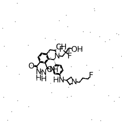 C[C@@H]1Cc2ccc3c(c2[C@@H](c2ccc(NC4CN(CCCF)C4)cn2)N1CC(F)(F)CO)C(O)NNC3=O